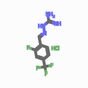 Cl.N=C(N)N/N=C/c1ccc(C(F)(F)F)cc1F